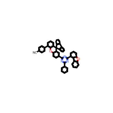 N#Cc1ccc(-c2cccc3c2Oc2ccc(-c4nc(-c5ccccc5)nc(-c5cccc6oc7ccccc7c56)n4)cc2C32C3=C(C=CCC3)c3ccccc32)cc1